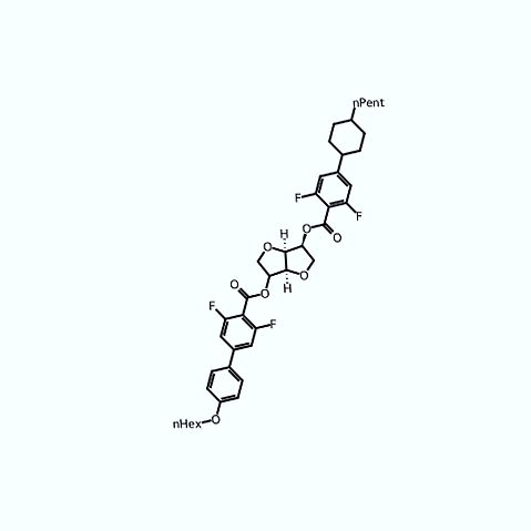 CCCCCCOc1ccc(-c2cc(F)c(C(=O)OC3CO[C@H]4[C@@H](OC(=O)c5c(F)cc(C6CCC(CCCCC)CC6)cc5F)CO[C@@H]34)c(F)c2)cc1